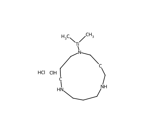 Cl.Cl.[CH3][Ti]([CH3])[N]1CCCNCCCNCCC1